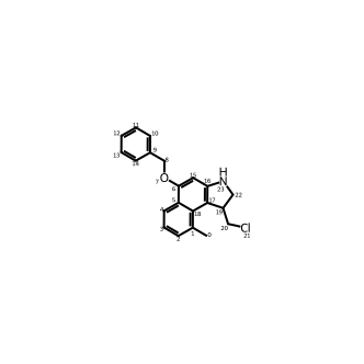 Cc1cccc2c(OCc3ccccc3)cc3c(c12)C(CCl)CN3